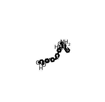 NC(=O)c1ncc(N2CCCCC2)nc1Nc1ccc(C2CCN(CC3CCN(c4ccc([C@H]5CCC(=O)NC5=O)cc4)CC3)CC2)cc1